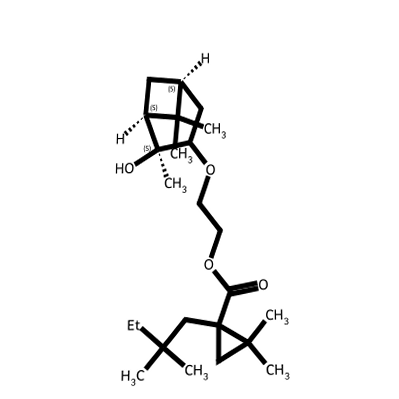 CCC(C)(C)CC1(C(=O)OCCOC2C[C@@H]3C[C@@H](C3(C)C)[C@]2(C)O)CC1(C)C